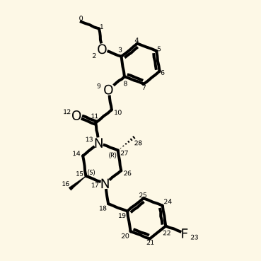 CCOc1ccccc1OCC(=O)N1C[C@H](C)N(Cc2ccc(F)cc2)C[C@H]1C